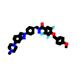 COc1ccc(COc2c(F)cc(C(=O)NC[C@H]3CC[C@H](n4cc5ccc(N6CCN(C)CC6)cc5n4)CC3)c(F)c2F)cc1